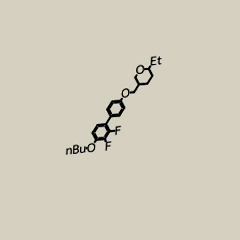 CCCCOc1ccc(-c2ccc(OCC3CCC(CC)OC3)cc2)c(F)c1F